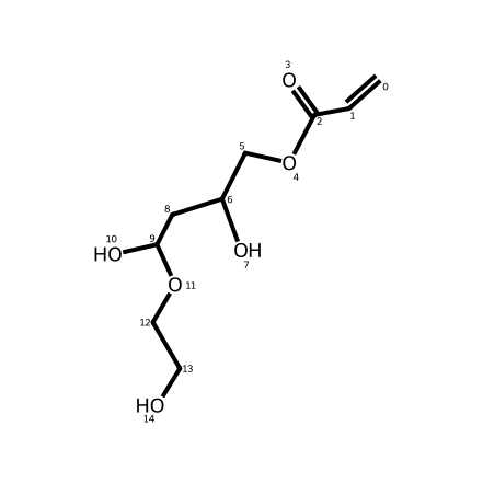 C=CC(=O)OCC(O)CC(O)OCCO